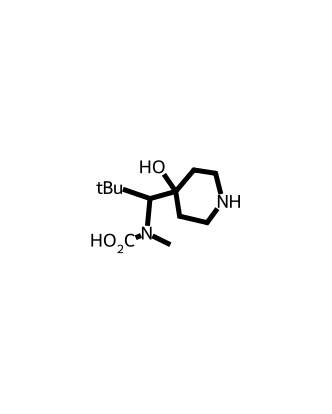 CN(C(=O)O)C(C(C)(C)C)C1(O)CCNCC1